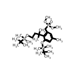 COP(=O)(Cc1cc(C)cc(O[Si](C)(C)C(C)(C)C)c1C(C)(C)CCO[Si](C)(C)C(C)(C)C)OC